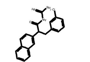 N=C(N)NC(=O)C(Cc1cccc(Cl)c1)c1ccc2ccccc2c1